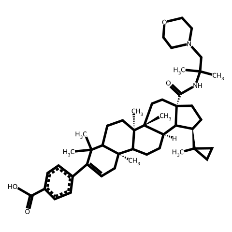 CC(C)(CN1CCOCC1)NC(=O)[C@]12CC[C@@H](C3(C)CC3)C1[C@H]1CCC3[C@@]4(C)CC=C(c5ccc(C(=O)O)cc5)C(C)(C)C4CC[C@@]3(C)[C@]1(C)CC2